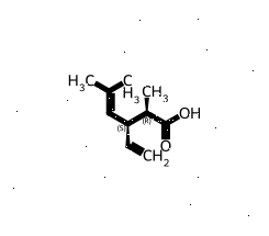 C=C[C@@H](C=C(C)C)[C@@H](C)C(=O)O